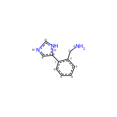 NCc1ccccc1-c1cnc[nH]1